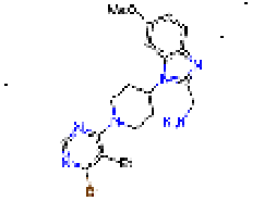 CCc1c(Br)ncnc1N1CCC(n2c(CN)nc3ccc(OC)cc32)CC1